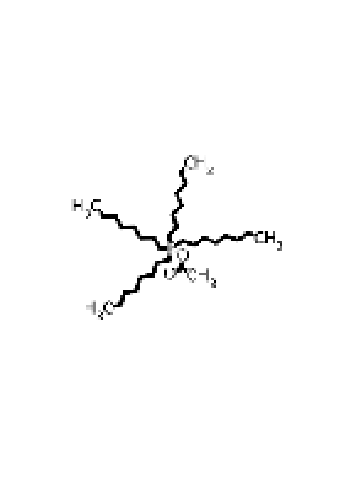 CCCCCCCCP(CCCCCCCC)(CCCCCCCC)(CCCCCCCC)OC(C)=O